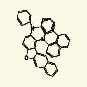 c1ccc(-c2ccccc2N(c2ccccc2)c2c(N(c3ccccc3)c3ccccc3)ccc3oc4cc5ccccc5cc4c23)cc1